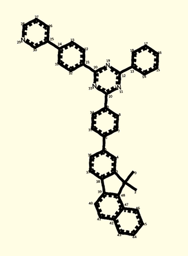 CC1(C)c2cc(-c3ccc(-c4nc(-c5ccccc5)nc(-c5ccc(-c6cccnc6)cc5)n4)cc3)ccc2-c2ccc3ccccc3c21